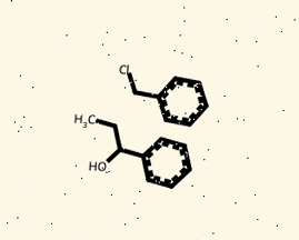 CCC(O)c1ccccc1.ClCc1ccccc1